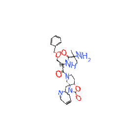 CN1C(=O)OC2CCN(C(=O)[C@@H](COCc3ccccc3)NC(=O)C(C)(C)N)CC21Cc1ccccn1